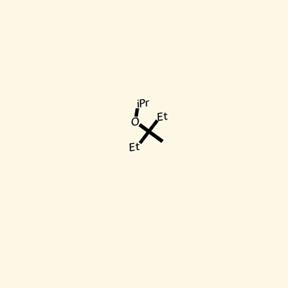 CCC(C)(CC)OC(C)C